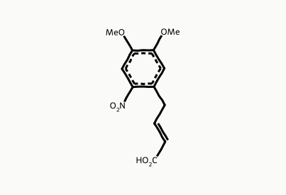 COc1cc(C/C=C/C(=O)O)c([N+](=O)[O-])cc1OC